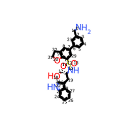 NCc1cccc(-c2cc3c(c(S(=O)(=O)N[C@@H](CO)Cc4c[nH]c5ccccc45)c2)OCC3)c1